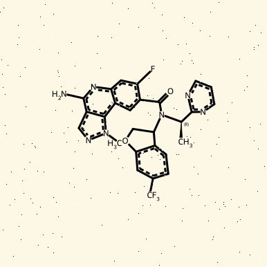 C[C@H](c1ncccn1)N(C(=O)c1cc2c(cc1F)nc(N)c1cnn(C)c12)C1COc2cc(C(F)(F)F)ccc21